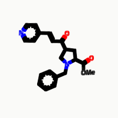 COC(=O)C1CC(C(=O)/C=C/c2ccncc2)CN1Cc1ccccc1